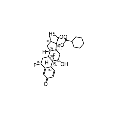 C[C@@H]1C[C@H]2[C@@H]3C[C@H](F)C4=CC(=O)C=C[C@]4(C)[C@@]3(F)[C@@H](O)C[C@]2(C)[C@@]1(OC(=O)C1CCCCC1)C(=O)S